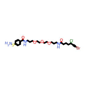 NSc1ccc(C(=O)NCCCOCCOCCOCCCNC(=O)CCCC(Cl)C#CBr)cc1